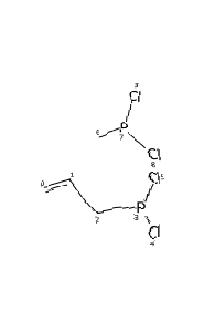 C=CCP(Cl)Cl.CP(Cl)Cl